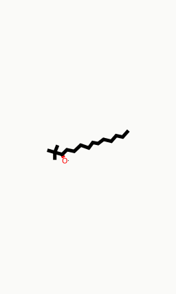 CCCCCCCCCCCC([O])C(C)(C)C